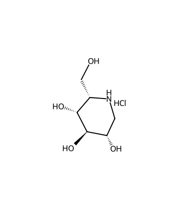 Cl.OC[C@@H]1NC[C@H](O)[C@@H](O)[C@@H]1O